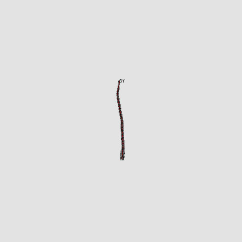 C#CC#CC#CC#CC#CC#CC#CC#CC#CC#CC#CC#CC#CC#CC#CC#CC#CC#CC#CC#CC#CC#CC#CC#CC#CC#CC#CC#CC#CC#CC#CC#CC#CC#CC#CC#CC#CC#CC#CC#CC#CC#CC#CC#CC#CC#CC#CC#CC#CC#CC#CC#CC#CC#CC#CC#CC#N